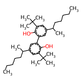 CCCCCC(C)c1cc(-c2cc(C(C)CCCCC)cc(C(C)(C)C)c2O)c(O)c(C(C)(C)C)c1